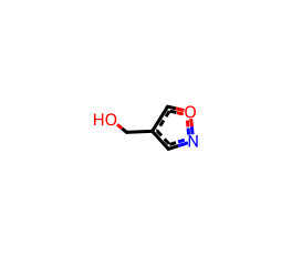 OCc1cnoc1